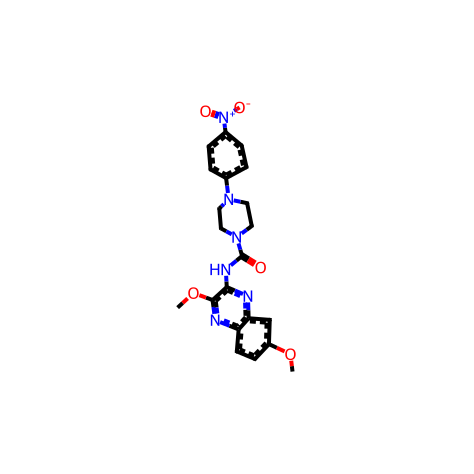 COc1ccc2nc(OC)c(NC(=O)N3CCN(c4ccc([N+](=O)[O-])cc4)CC3)nc2c1